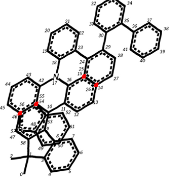 CC1(C)c2ccccc2-c2c(-c3ccccc3N(c3ccccc3-c3ccccc3-c3ccccc3-c3ccccc3)c3cccc4oc5ccccc5c34)cccc21